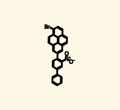 O=[N+]([O-])c1cc(-c2ccccc2)ccc1-c1cc2ccc3ccc(Br)c4ccc(c1)c2c34